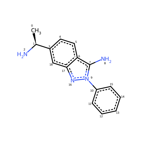 C[C@H](N)c1ccc2c(N)n(-c3ccccc3)nc2c1